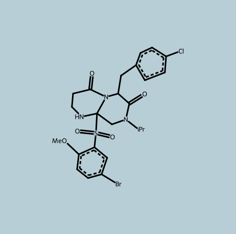 COc1ccc(Br)cc1S(=O)(=O)C12CN(C(C)C)C(=O)C(Cc3ccc(Cl)cc3)N1C(=O)CCN2